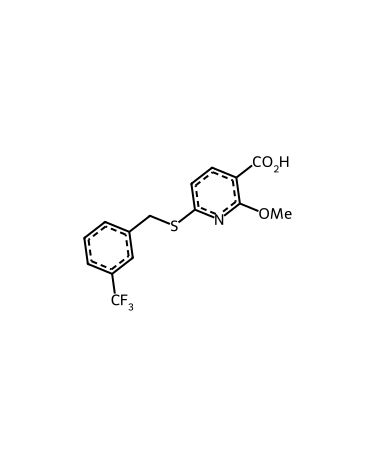 COc1nc(SCc2cccc(C(F)(F)F)c2)ccc1C(=O)O